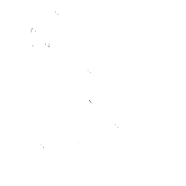 CC(C)(C)CCN1C(=O)[C@H](CC(=O)N2CCC(c3ccnc4[nH]c(=O)[nH]c34)CC2)SC1c1cccc(F)c1NCCN1CCOCC1